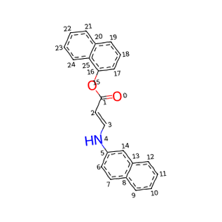 O=C(C=CNc1ccc2ccccc2c1)Oc1cccc2ccccc12